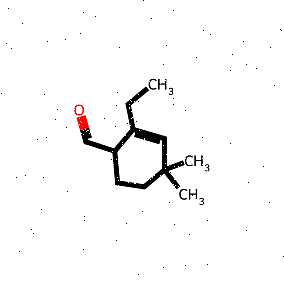 CCC1=CC(C)(C)CCC1C=O